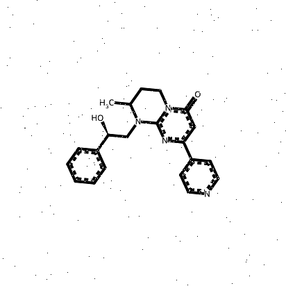 CC1CCn2c(nc(-c3ccncc3)cc2=O)N1C[C@H](O)c1ccccc1